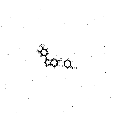 Oc1ccc(-c2cnc3ccc(O[C@H]4CC[C@H](O)CC4)nn23)cc1F